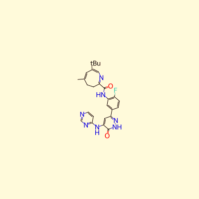 C/C1=C/C(C(C)(C)C)=C\N=C(\C(=O)Nc2cc(-c3cc(Nc4ccncn4)c(=O)[nH]n3)ccc2F)CC1